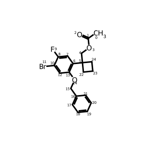 CC(=O)OCC1(c2cc(F)c(Br)cc2OCc2ccccc2)CCC1